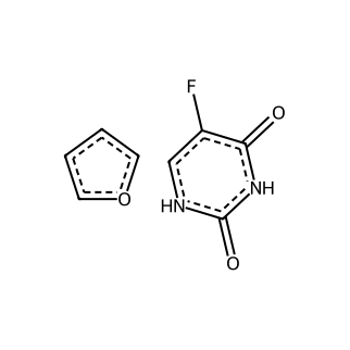 O=c1[nH]cc(F)c(=O)[nH]1.c1ccoc1